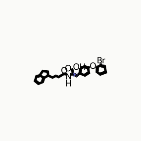 O=C(CCCC1CCc2ccccc21)N/C(=C/c1ccc(Oc2ccccc2Br)cc1)C(=O)O